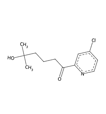 CC(C)(O)CCCC(=O)c1cc(Cl)ccn1